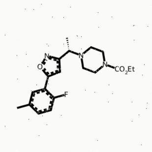 CCOC(=O)N1CCN([C@@H](C)c2cc(-c3cc(C)ccc3F)on2)CC1